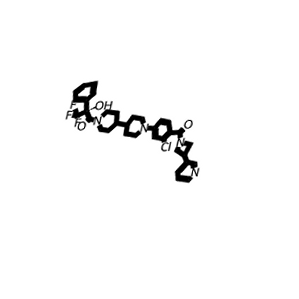 O=C(c1ccc(N2CCC(C3CCN(C(=O)[C@](O)(c4ccccc4)C(F)(F)F)CC3)CC2)cc1Cl)N1CC(c2cccnc2)C1